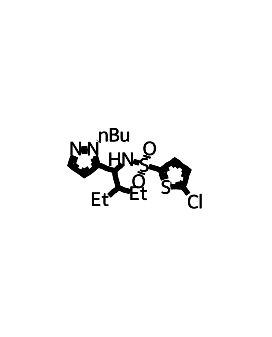 CCCCn1nccc1C(NS(=O)(=O)c1ccc(Cl)s1)C(CC)CC